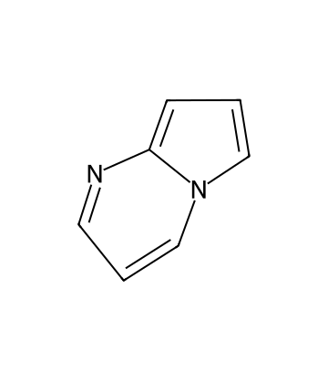 c1cnc2cccn2c1